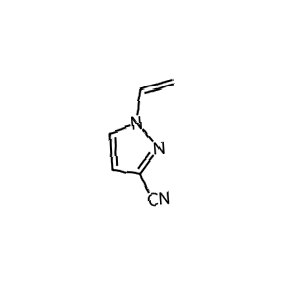 C=Cn1ccc(C#N)n1